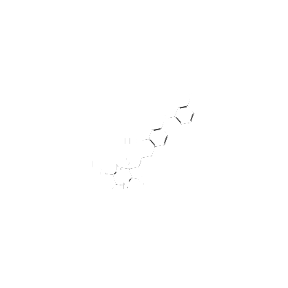 CCOC1=N[C@](C)(CCCc2ccc(Sc3cccc(Cl)c3)cc2C)C(OCC)=N[C@H]1C(C)C